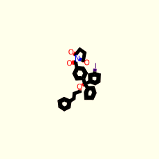 O=C1CCC(=O)N1C(=O)c1ccc(C(OCCCc2ccccc2)(c2ccccc2)c2cccc(I)c2)cc1